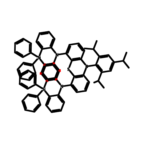 CC(C)c1cc(C(C)C)c(B2c3cccc(N4c5ccccc5[Si](c5ccccc5)(c5ccccc5)c5ccccc54)c3Sc3c2cccc3N2c3ccccc3[Si](c3ccccc3)(c3ccccc3)c3ccccc32)c(C(C)C)c1